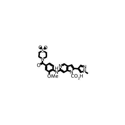 COc1cc(C(=O)N2CCS(=O)(=O)CC2)ccc1Nc1cc2c(cn1)cc(-c1cnn(C)c1)n2C(=O)O